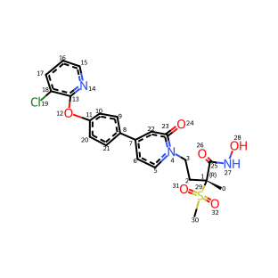 C[C@@](CCn1ccc(-c2ccc(Oc3ncccc3Cl)cc2)cc1=O)(C(=O)NO)S(C)(=O)=O